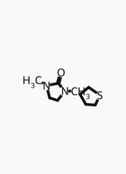 C1CCSC1.CN1CCN(C)C1=O